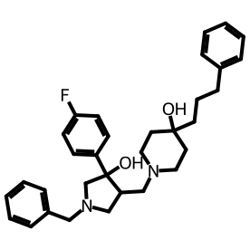 OC1(CCCc2ccccc2)CCN(CC2CN(Cc3ccccc3)CC2(O)c2ccc(F)cc2)CC1